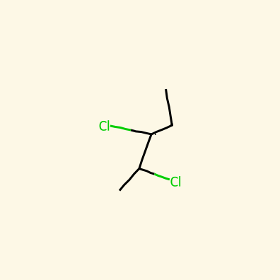 CC[C](Cl)C(C)Cl